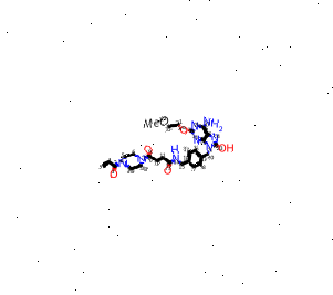 C=CC(=O)N1CCN(C(=O)CCC(=O)NCc2ccc(Cn3c(O)nc4c(N)nc(OCCOC)nc43)cc2)CC1